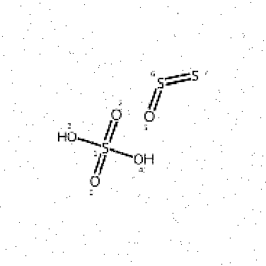 O=S(=O)(O)O.O=S=S